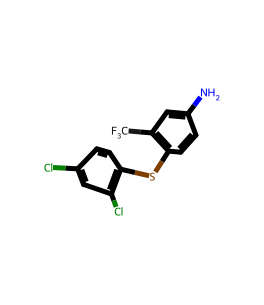 Nc1ccc(Sc2ccc(Cl)cc2Cl)c(C(F)(F)F)c1